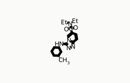 CCN(CC)S(=O)(=O)c1ccc2nnc(N[C@H]3CCC[C@@H](C)C3)n2c1